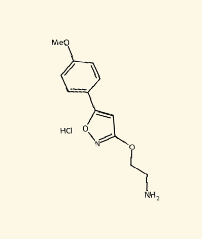 COc1ccc(-c2cc(OCCN)no2)cc1.Cl